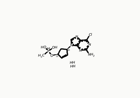 C[PH](O)(O)O[C@@H]1C=C[C@H](n2cnc3c(Cl)nc(N)nc32)C1.[HH].[HH]